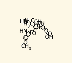 Br.CCOc1ccc2c(c1)CN(CC(=O)c1cc(N3CCC(OCC(=O)O)C3)c(O)c(C(C)(C)C)c1)C2=N